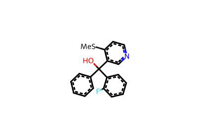 CSc1ccncc1C(O)(c1ccccc1)c1ccccc1F